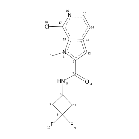 Cn1c(C(=O)NC2CC(F)(F)C2)cc2ccnc(Cl)c21